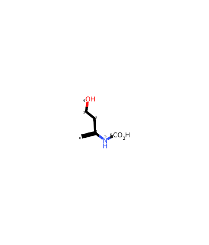 C=C(CCO)NC(=O)O